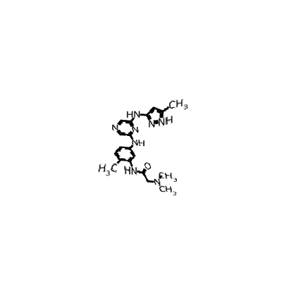 Cc1cc(Nc2cncc(Nc3ccc(C)c(NC(=O)CN(C)C)c3)n2)n[nH]1